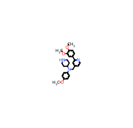 COc1ccc(N(Cc2ccnc(-c3ccc(OC)c(OC)c3)c2)C2CCNCC2)cc1